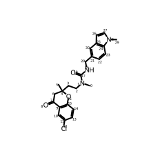 CN(CCC1(C)CC(=O)c2cc(Cl)ccc2O1)C(=O)NCc1ccc2c(ccn2C)c1